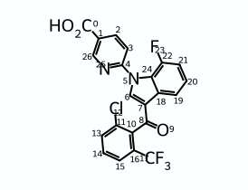 O=C(O)c1ccc(-n2cc(C(=O)c3c(Cl)cccc3C(F)(F)F)c3cccc(F)c32)nc1